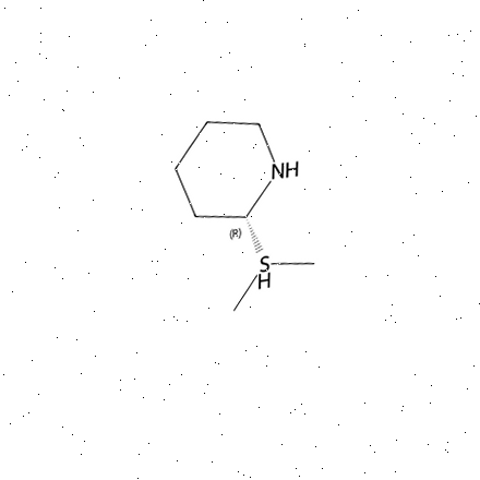 C[SH](C)[C@@H]1CCCCN1